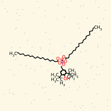 CCCCCCCCCCCCCCCCCC(=O)OP(=O)(OCc1cc(C(C)(C)C)c(O)c(C(C)(C)C)c1)OC(=O)CCCCCCCCCCCCCCCCC